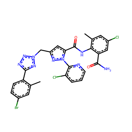 Cc1cc(Br)ccc1-c1nnn(Cc2cc(C(=O)Nc3c(C)cc(Cl)cc3C(N)=O)n(-c3ncccc3Cl)n2)n1